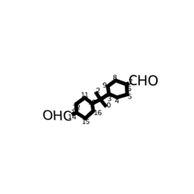 CC(C)(C1CCC(C=O)CC1)C1CCC(C=O)CC1